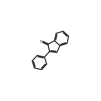 O=C1C(c2ccccc2)=Cc2ccccc21